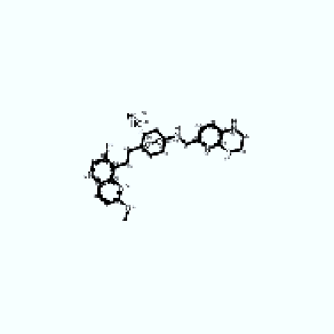 COc1ccc2ncc(F)c(CCC34CCC(NCc5ccc6c(n5)OCCN6)(CC3)CO4)c2n1.Cl.Cl